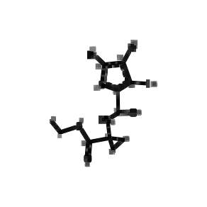 CCSC(=O)C1(NC(=O)c2sc(Br)c(Br)c2I)CC1